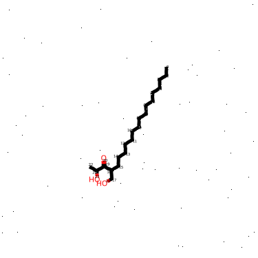 CCCCCCCCCCCCCCCCC(CO)C(=O)C(C)O